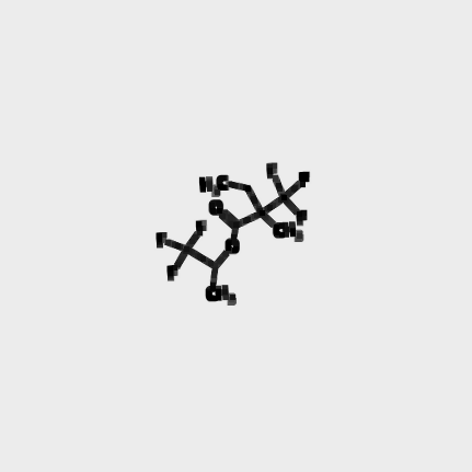 CCC(C)(C(=O)OC(C)C(F)(F)F)C(F)(F)F